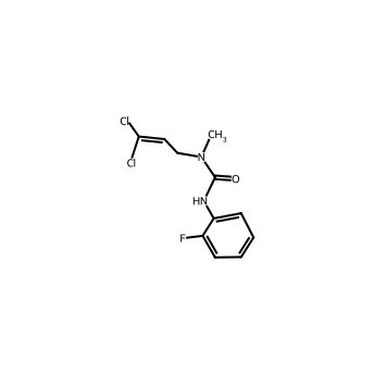 CN(CC=C(Cl)Cl)C(=O)Nc1ccccc1F